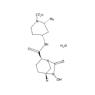 CC(C)(C)C1CC(NC(=O)[C@@H]2CC[C@@H]3CN2C(=O)N3O)CCN1C(=O)O.O